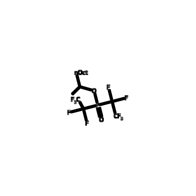 CCCCCCCCC(C)OP(=O)(C(F)(F)C(F)(F)F)C(F)(F)C(F)(F)F